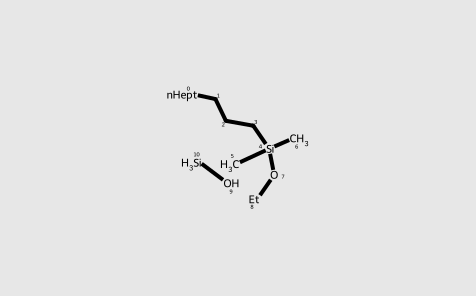 CCCCCCCCCC[Si](C)(C)OCC.O[SiH3]